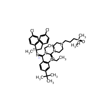 CCOc1cc(C(C)(C)C)ccc1/C(=N/[C@](C)(Cc1ccc(Cl)cc1)c1ccc(Cl)cc1)N(CC)C(=O)N1CCN(CCC[SH](C)(C)=O)CC1